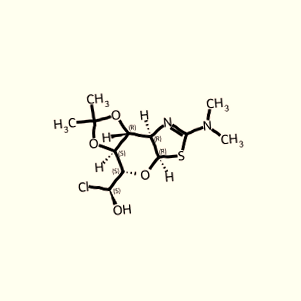 CN(C)C1=N[C@@H]2[C@H]3OC(C)(C)O[C@@H]3[C@@H]([C@@H](O)Cl)O[C@@H]2S1